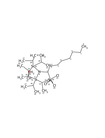 CCCCCCCC(N([Si](C(C)C)(C(C)C)C(C)C)[Si](C(C)C)(C(C)C)C(C)C)[Si](Cl)(Cl)Cl